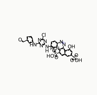 Nc1c(S(=O)(=O)O)cc2cc(S(=O)(=O)O)cc(O)c2c1/N=N\c1ccc(Nc2nc(Cl)nc(Nc3cccc(C=O)c3)n2)cc1